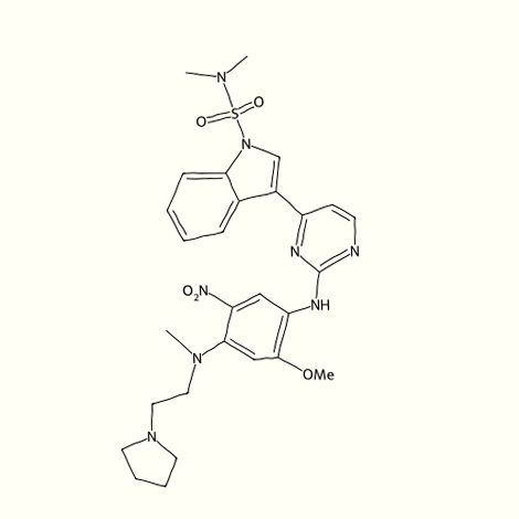 COc1cc(N(C)CCN2CCCC2)c([N+](=O)[O-])cc1Nc1nccc(-c2cn(S(=O)(=O)N(C)C)c3ccccc23)n1